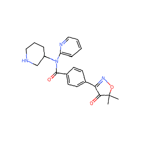 CC1(C)ON=C(c2ccc(C(=O)N(c3ccccn3)C3CCCNC3)cc2)C1=O